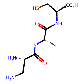 NC[C@H](N)C(=O)N[C@@H](I)C(=O)N[C@@H](CS)C(=O)O